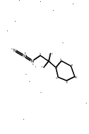 CC(C)(CN=[N+]=[N-])C1CCCCC1